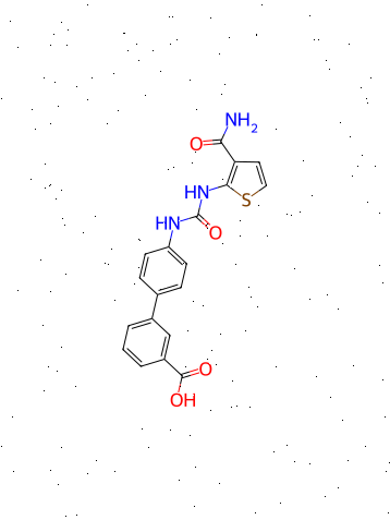 NC(=O)c1ccsc1NC(=O)Nc1ccc(-c2cccc(C(=O)O)c2)cc1